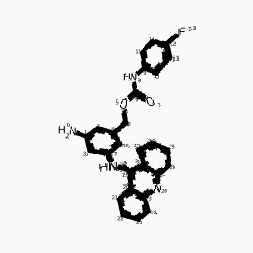 Nc1cc(COC(=O)Nc2ccc(F)cc2)cc(Nc2c3ccccc3nc3ccccc23)c1